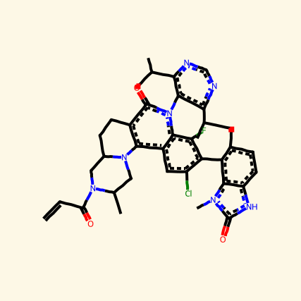 C=CC(=O)N1CC2CCc3c(c4cc(Cl)c(-c5c(C)ccc6[nH]c(=O)n(C)c56)c(F)c4n(-c4c(C(C)C)ncnc4C(C)C)c3=O)N2CC1C